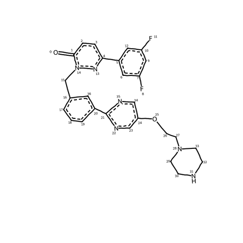 O=c1ccc(-c2cc(F)cc(F)c2)nn1Cc1cccc(-c2ncc(OCCN3CCNCC3)cn2)c1